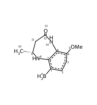 Bc1ccc(OC)c2c1N[C@H](C)CC(=O)N2